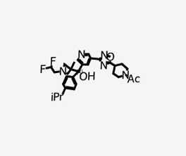 CC(=O)N1CCC(c2nc(-c3cncc([C@@](O)(c4ccc(C(C)C)cc4)C4(C)CN(CC(F)F)C4)c3)no2)CC1